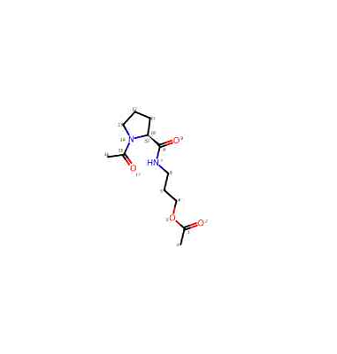 CC(=O)OCCCNC(=O)[C@@H]1CCCN1C(C)=O